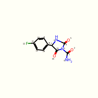 NC(=O)N1C(=O)NC(c2ccc(F)cc2)C1=O